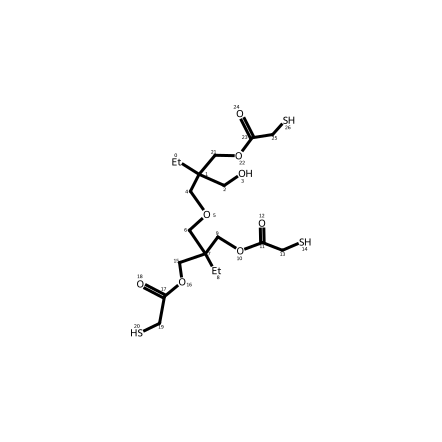 CCC(CO)(COCC(CC)(COC(=O)CS)COC(=O)CS)COC(=O)CS